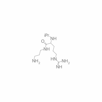 CC(C)NC(CCCNC(=N)N)C(=O)NCCCN